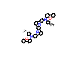 CC(C)c1ccc(N(c2ccc3c4cccc5c6cc7c(cc6n(c3c2)c45)c2cccc3c4ccc(N(c5ccc(C(C)C)cc5)c5cccc6c5oc5ccccc56)cc4n7c32)c2cccc3c2oc2ccccc23)cc1